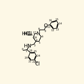 CC(NCC1CCN(CCOc2ccccc2)CC1)c1ccc(Cl)cc1.Cl.Cl